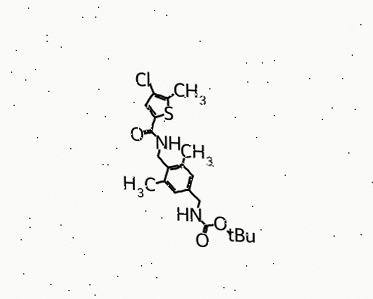 Cc1cc(CNC(=O)OC(C)(C)C)cc(C)c1CNC(=O)c1cc(Cl)c(C)s1